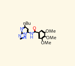 CCCCc1cc(NC(=O)c2cc(OC)c(OC)c(OC)c2)n2ncnc2n1